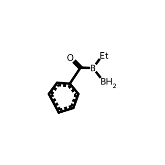 BB(CC)C(=O)c1ccccc1